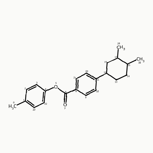 Cc1ccc(OC(=O)c2ccc(C3CCC(C)C(C)C3)cc2)cc1